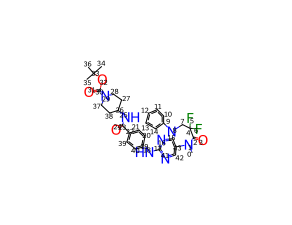 CN1C(=O)C(F)(F)CN(c2ccccc2)c2nc(Nc3ccc(C(=O)NC4CCN(C(=O)OC(C)(C)C)CC4)cc3)ncc21